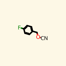 N#COCc1ccc(F)cc1